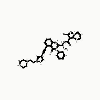 C[C@H](NC(=O)c1c(N)nn2cccnc12)c1nc2cccc(C#Cc3cnn(CCN4CCOCC4)c3)c2c(=O)n1-c1ccccc1